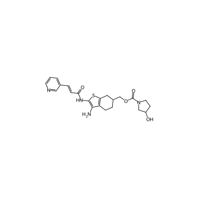 Nc1c(NC(=O)/C=C/c2cccnc2)sc2c1CCC(COC(=O)N1CCC(O)C1)C2